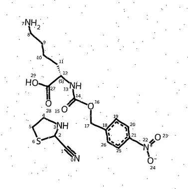 N#CC1NCCS1.NCCCC[C@H](NC(=O)OCc1ccc([N+](=O)[O-])cc1)C(=O)O